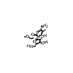 COCC[C@@]1(n2cc(C)c(N)nc2=O)O[C@H](CO)[C@@H](O)[C@H]1O